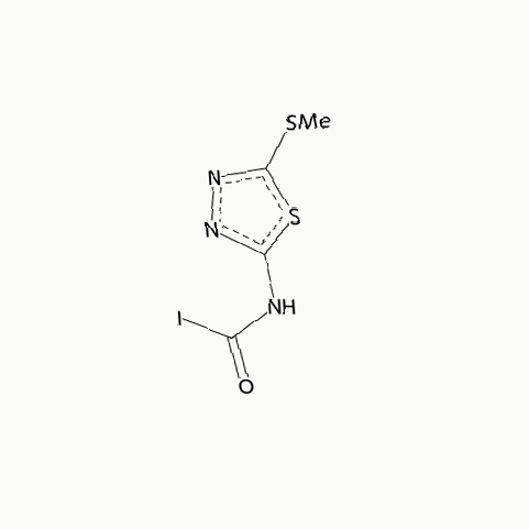 CSc1nnc(NC(=O)I)s1